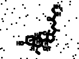 CC[C@H]1[C@@H](O)[C@@H]2[C@H](CC[C@]3(C)[C@@H]([C@H](C)CCC(=O)NCN)CC[C@@H]23)[C@@]2(C)CC[C@@H](O)C[C@@H]12